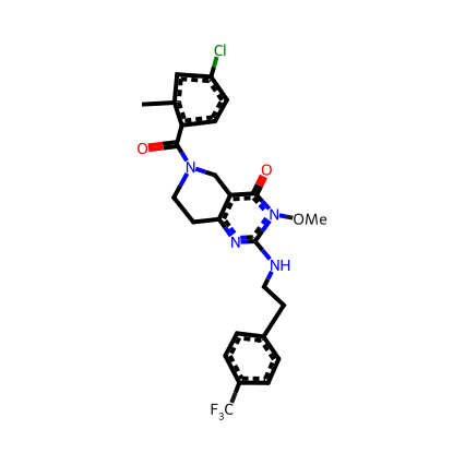 COn1c(NCCc2ccc(C(F)(F)F)cc2)nc2c(c1=O)CN(C(=O)c1ccc(Cl)cc1C)CC2